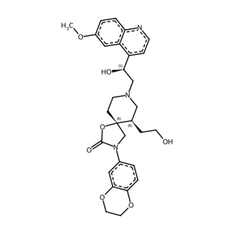 COc1ccc2nccc([C@H](O)CN3CC[C@]4(CN(c5ccc6c(c5)OCCO6)C(=O)O4)[C@H](CCO)C3)c2c1